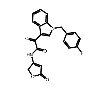 O=C1C=C(NC(=O)C(=O)c2cn(Cc3ccc(F)cc3)c3ccccc23)CO1